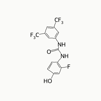 O=C(Nc1cc(C(F)(F)F)cc(C(F)(F)F)c1)Nc1ccc(O)cc1F